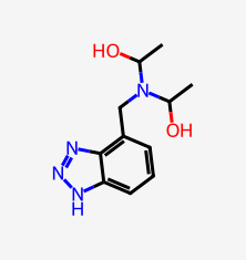 CC(O)N(Cc1cccc2[nH]nnc12)C(C)O